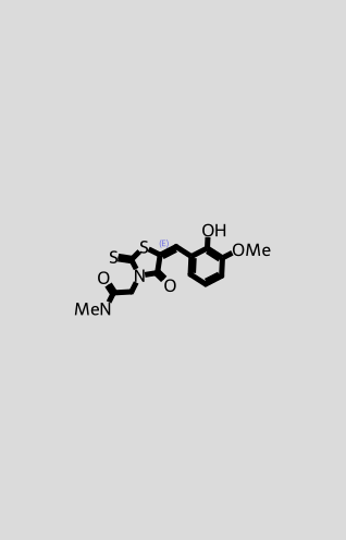 CNC(=O)CN1C(=O)/C(=C\c2cccc(OC)c2O)SC1=S